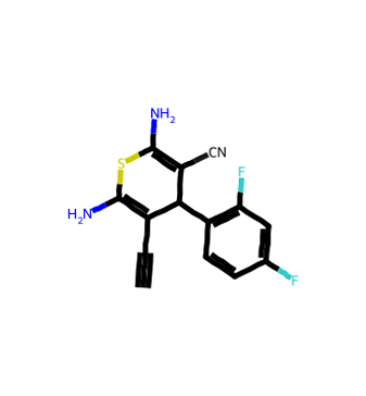 C#CC1=C(N)SC(N)=C(C#N)C1c1ccc(F)cc1F